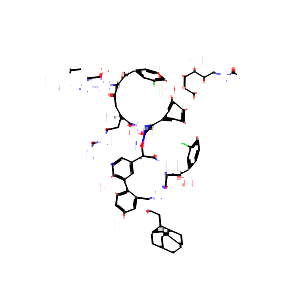 CN[C@H](CC(C)C)C(=O)N[C@H]1C(=O)C[C@@H](CC(=O)NC(N)=O)C(=O)N[C@H]2C(=O)C[C@H]3C(=O)N[C@H](C(=O)N[C@H](C(=O)CC4C5CC6CC(C5)CC4C6)c4cc(O)cc(O)c4-c4cc3ccc4O)[C@H](O)c3ccc(c(Cl)c3)Oc3cc2cc(c3OC2OC(CNC(C)=O)C(O)C(O)C2O)Oc2ccc(cc2Cl)[C@H]1O